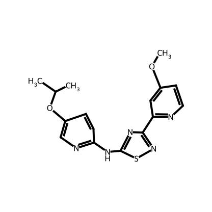 COc1ccnc(-c2nsc(Nc3ccc(OC(C)C)cn3)n2)c1